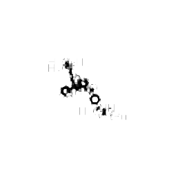 CC(NC(=O)OC(C)(C)C)[C@H]1CC[C@H](C(=O)Nc2ccnc3c2cc(-c2ccccn2)n3COCC[Si](C)(C)C)CC1